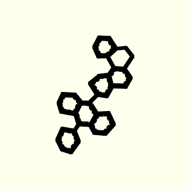 c1ccc(-c2c3ccccc3c(-c3ccc4c5c(ccc4c3)CCc3ccccc3-5)c3ccccc23)cc1